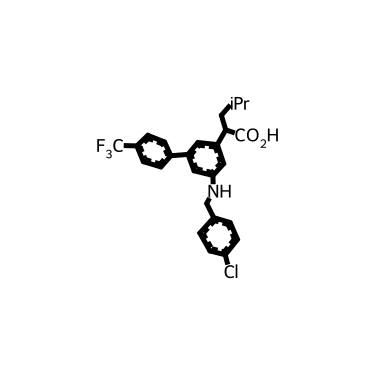 CC(C)CC(C(=O)O)c1cc(NCc2ccc(Cl)cc2)cc(-c2ccc(C(F)(F)F)cc2)c1